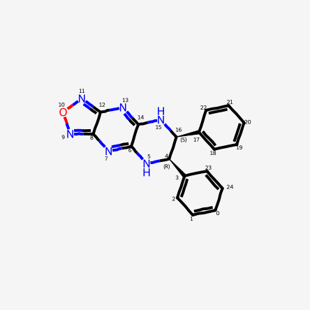 c1ccc([C@H]2Nc3nc4nonc4nc3N[C@H]2c2ccccc2)cc1